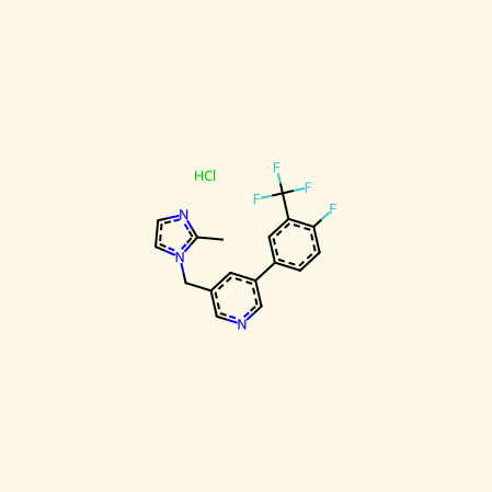 Cc1nccn1Cc1cncc(-c2ccc(F)c(C(F)(F)F)c2)c1.Cl